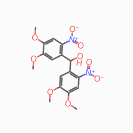 COc1cc(C(O)c2cc(OC)c(OC)cc2[N+](=O)[O-])c([N+](=O)[O-])cc1OC